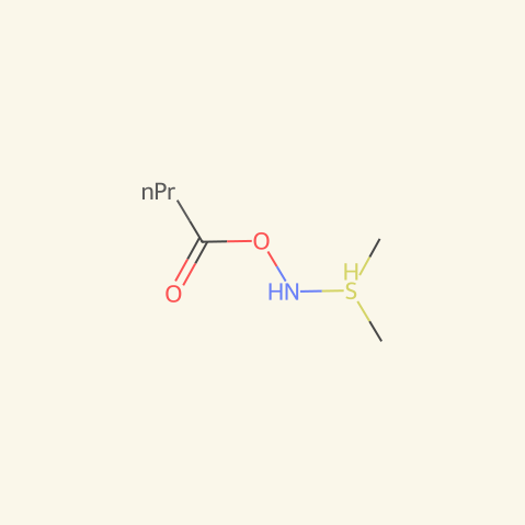 CCCC(=O)ON[SH](C)C